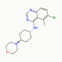 Cc1c(Br)ccc2ncnc(N[C@H]3CC[C@H](N4CCOCC4)CC3)c12